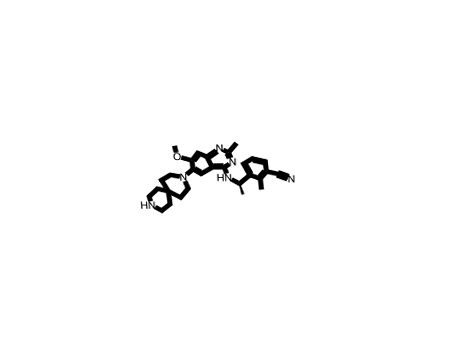 COc1cc2nc(C)nc(N[C@H](C)c3cccc(C#N)c3C)c2cc1N1CCC2(CCNCC2)CC1